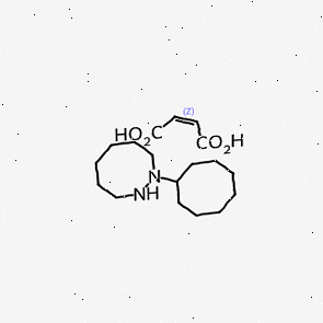 C1CCCC(N2CCCCCCN2)CCC1.O=C(O)/C=C\C(=O)O